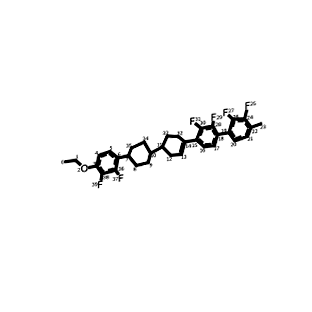 CCOc1ccc(C2CCC(C3CC=C(c4ccc(-c5ccc(C)c(F)c5F)c(F)c4F)CC3)CC2)c(F)c1F